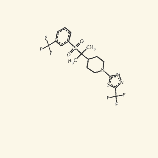 CC(C)(C1CCN(c2nnc(C(F)(F)F)s2)CC1)S(=O)(=O)c1cccc(C(F)(F)F)c1